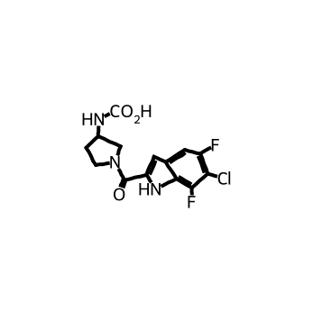 O=C(O)NC1CCN(C(=O)c2cc3cc(F)c(Cl)c(F)c3[nH]2)C1